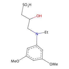 CCN(CC(O)CS(=O)(=O)O)c1cc(OC)cc(OC)c1